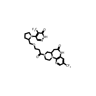 O=C1CC2CN(C(=O)CCOCC3CCCN3c3cn[nH]c(=O)c3C(F)(F)F)CCN2c2ncc(C(F)(F)F)cc2N1